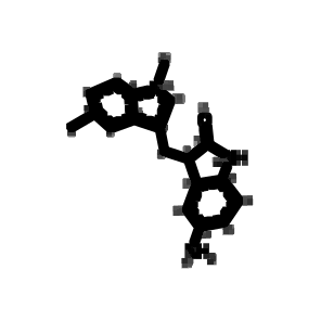 Cc1ccc2c(c1)c(CC1C(=O)Nc3ccc(N)cc31)cn2C